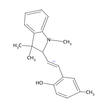 Cc1ccc(O)c(/C=C/C2N(C)c3ccccc3C2(C)C)c1